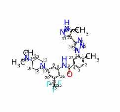 Cc1ccc(C(=O)Nc2cc(N3CCC(N(C)C)CC3)cc(C(F)(F)F)c2)cc1-n1cc(-c2cn[nH]c2C)nn1